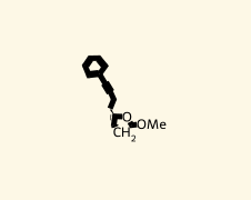 C=C[C@H](CCC#Cc1ccccc1)OCOC